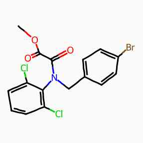 COC(=O)C(=O)N(Cc1ccc(Br)cc1)c1c(Cl)cccc1Cl